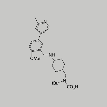 COc1ccc(-c2ccnc(C)c2)cc1CNC1CCC(CN(C(=O)O)C(C)(C)C)CC1